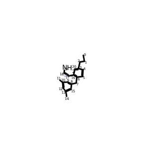 CCCc1ccc(Cc2cc(C)cc(C)c2)c(/C=C\N)c1